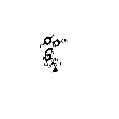 O[C@@H]1C[C@H](c2cc(F)ccc2F)N(c2ccn3nc(Cl)c(NC(=S)NC4CC4)c3n2)C1